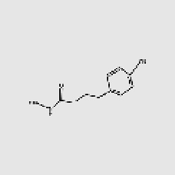 CC(C)(C)NC(=O)OCCc1ccc(C#N)cc1